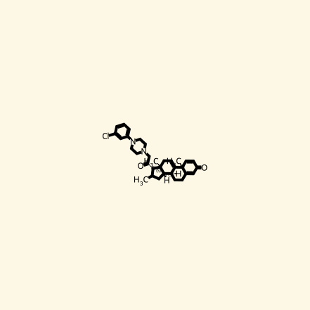 CC1C[C@H]2[C@@H]3CCC4=CC(=O)C=C[C@]4(C)C3=CC[C@]2(C)[C@H]1C(=O)CN1CCN(c2cccc(Cl)c2)CC1